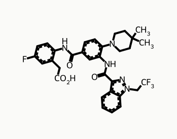 CC1(C)CCN(c2ccc(C(=O)Nc3ccc(F)cc3CC(=O)O)cc2NC(=O)c2nn(CC(F)(F)F)c3ccccc23)CC1